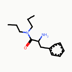 CCCN(CCC)C(=O)C(N)Cc1ccccc1